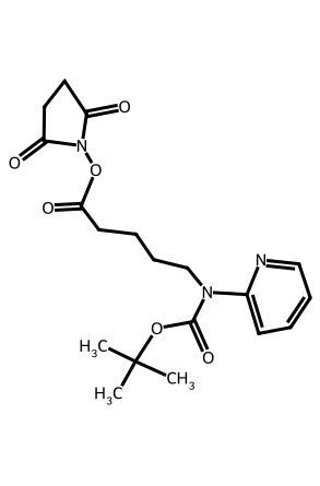 CC(C)(C)OC(=O)N(CCCCC(=O)ON1C(=O)CCC1=O)c1ccccn1